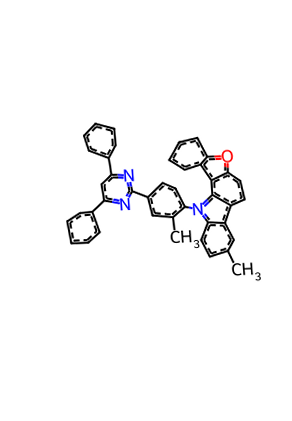 Cc1ccc2c(c1)c1ccc3oc4ccccc4c3c1n2-c1ccc(-c2nc(-c3ccccc3)cc(-c3ccccc3)n2)cc1C